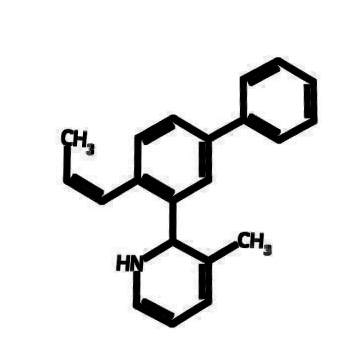 C/C=C\c1ccc(-c2ccccc2)cc1C1NC=CC=C1C